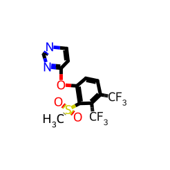 CS(=O)(=O)c1c(Oc2ccncn2)ccc(C(F)(F)F)c1C(F)(F)F